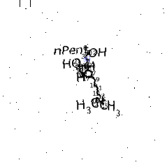 CCCCC[C@H](O)/C=C/[C@H]1[C@@H]2CC(CCCCCN(C)C)=C[C@@H]2C[C@@H]1O